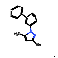 Cc1cc(C(C)(C)C)nn1-c1cccc(-c2ccccc2)c1